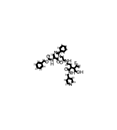 O=C(Cn1c(-c2ccccc2)ncc(NC(=O)OCc2ccccc2)c1=O)NCCC(C(=O)NCc1ccncc1)C(CO)C(F)F